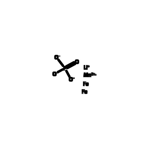 O=P([O-])([O-])[O-].[Fe].[Fe].[Li+].[Mn+2]